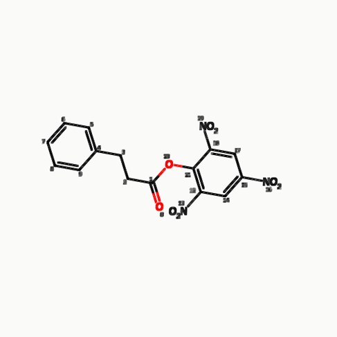 O=C(CCc1ccccc1)Oc1c([N+](=O)[O-])cc([N+](=O)[O-])cc1[N+](=O)[O-]